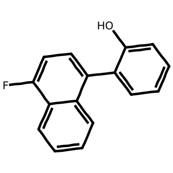 Oc1ccccc1-c1ccc(F)c2ccccc12